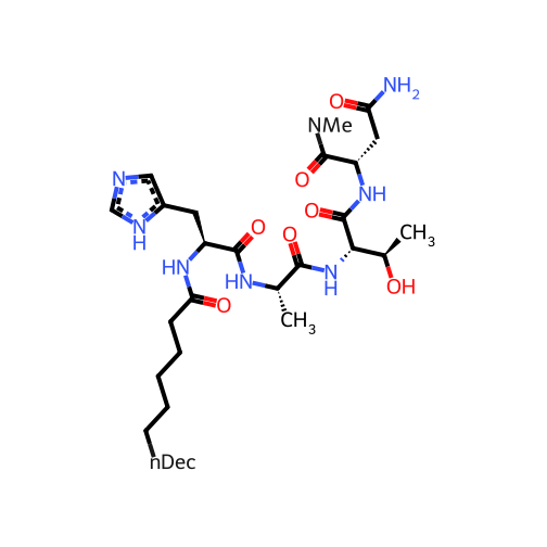 CCCCCCCCCCCCCCCC(=O)N[C@@H](Cc1cnc[nH]1)C(=O)N[C@@H](C)C(=O)N[C@H](C(=O)N[C@@H](CC(N)=O)C(=O)NC)[C@@H](C)O